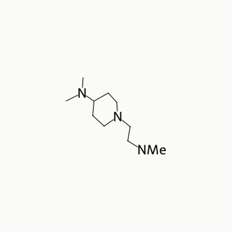 CNCCN1CCC(N(C)C)CC1